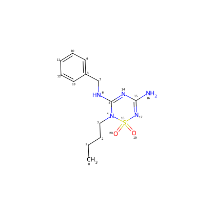 CCCCN1C(NCc2ccccc2)=NC(N)=NS1(=O)=O